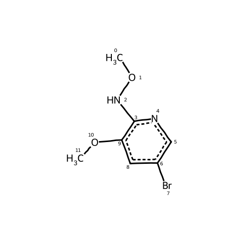 CONc1ncc(Br)cc1OC